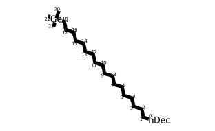 CCCCCCCCCCCCCCCCCCCCCCCCCCC[CH][Ge]([CH3])([CH3])[CH3]